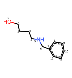 OCCCCNCc1ccccc1